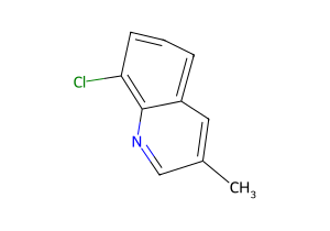 Cc1cnc2c(Cl)cccc2c1